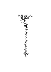 CCCCc1nc2c(N)nc3ccc(N4CCN(CCOCCOCCOCCOCCOCCOCCC(=O)C(C)C)CC4)cc3c2[nH]1